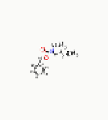 CCCCN(CC)C(=O)OCc1ccccc1